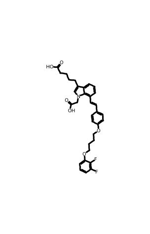 O=C(O)CCCCc1cn(CC(=O)O)c2c(/C=C/c3ccc(OCCCCOc4cccc(F)c4F)cc3)cccc12